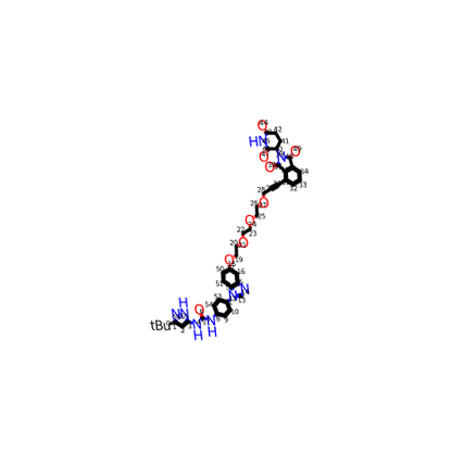 CC(C)(C)c1cc(NC(=O)Nc2ccc(-n3cnc4cc(OCCOCCOCCOCC#Cc5cccc6c5C(=O)N(C5CCC(=O)NC5=O)C6=O)ccc43)cc2)[nH]n1